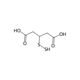 O=C(O)CC(CC(=O)O)SS